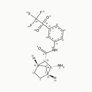 N[C@@H]1[C@@H]2CC[C@@H](C2)[C@@H]1C(=O)Nc1cccc(S(=O)(=O)C(F)(F)F)c1